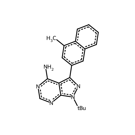 Cc1cc(-c2nn(C(C)(C)C)c3ncnc(N)c23)cc2ccccc12